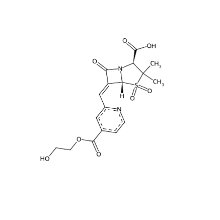 CC1(C)[C@H](C(=O)O)N2C(=O)/C(=C/c3cc(C(=O)OCCO)ccn3)[C@H]2S1(=O)=O